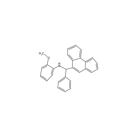 COc1ccccc1NC(c1ccccc1)c1cc2ccccc2c2ccccc12